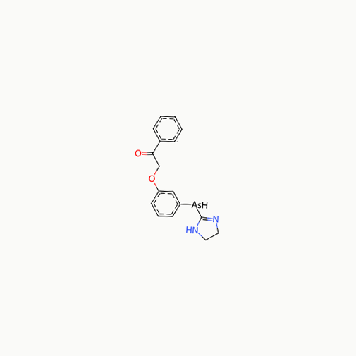 O=C(COc1cccc([AsH]C2=NCCN2)c1)c1[c]cccc1